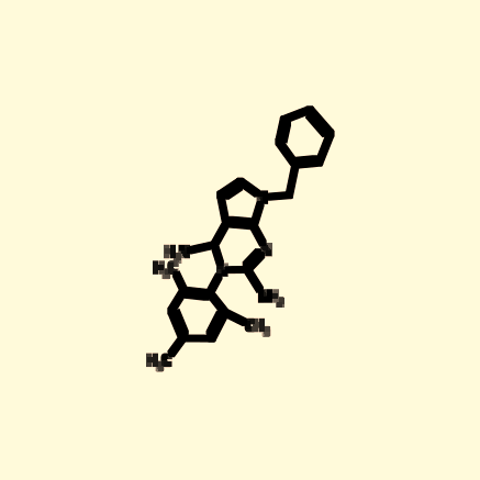 Cc1cc(C)c(N2C(N)=Nc3c(ccn3Cc3ccccc3)C2N)c(C)c1